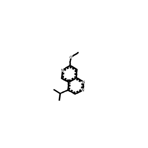 COc1cc2nncc(C(C)C)c2cn1